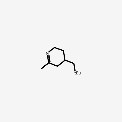 CC1=NCCC(CC(C)(C)C)C1